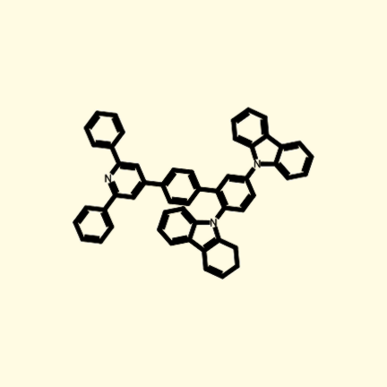 C1=Cc2c(n(-c3ccc(-n4c5ccccc5c5ccccc54)cc3-c3ccc(-c4cc(-c5ccccc5)nc(-c5ccccc5)c4)cc3)c3ccccc23)CC1